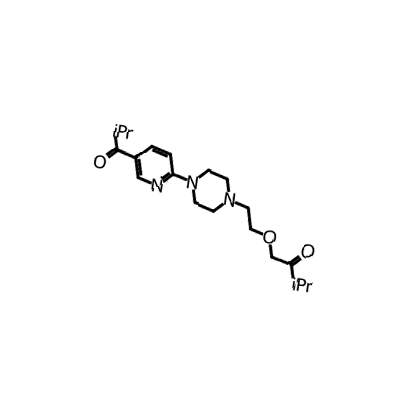 CC(C)C(=O)COCCN1CCN(c2ccc(C(=O)C(C)C)cn2)CC1